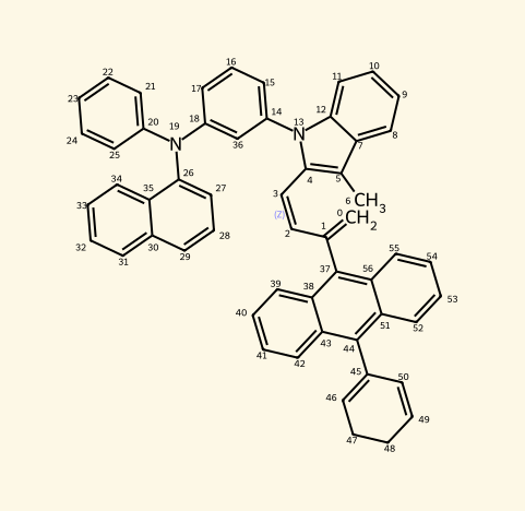 C=C(/C=C\c1c(C)c2ccccc2n1-c1cccc(N(c2ccccc2)c2cccc3ccccc23)c1)c1c2ccccc2c(C2=CCCC=C2)c2ccccc12